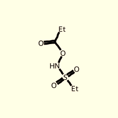 CCC(=O)ONS(=O)(=O)CC